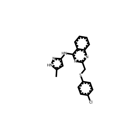 Cc1cc(Nc2nc(CSc3ccc(Cl)cc3)nc3ccccc23)n[nH]1